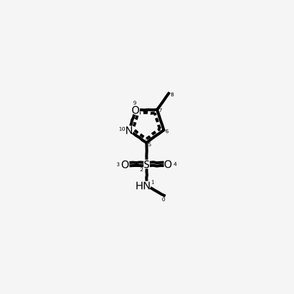 CNS(=O)(=O)c1cc(C)on1